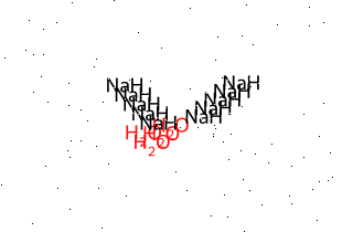 O.O.O.O.[NaH].[NaH].[NaH].[NaH].[NaH].[NaH].[NaH].[NaH].[NaH].[NaH]